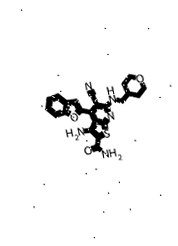 N#Cc1c(NCC2CCOCC2)nc2sc(C(N)=O)c(N)c2c1-c1cc2ccccc2o1